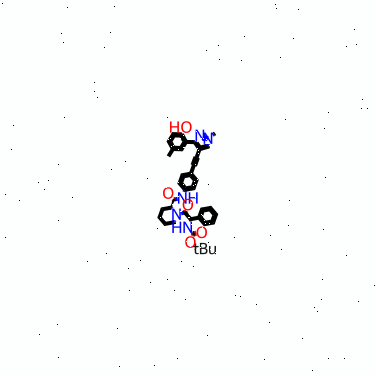 Cc1ccc(O)c(-c2nn(C)cc2C#Cc2ccc(NC(=O)[C@@H]3CCCCN3C(=O)[C@@H](NC(=O)OC(C)(C)C)c3ccccc3)cc2)c1